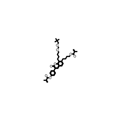 C=C(C)C(=O)OCCCCc1ccc2cc(-c3ccc(OC(=O)C(=C)C)cc3)c(=O)oc2c1CCCCOCOCC(C)(C)C